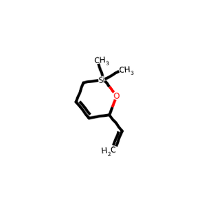 C=CC1C=CC[Si](C)(C)O1